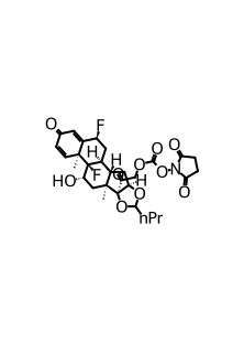 CCCC1O[C@@H]2C[C@H]3[C@@H]4C[C@H](F)C5=CC(=O)C=C[C@]5(C)[C@@]4(F)[C@@H](O)C[C@]3(C)[C@]2(C(=O)COC(=O)ON2C(=O)CCC2=O)O1